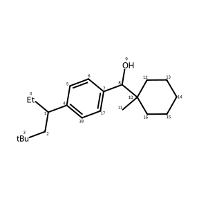 CCC(CC(C)(C)C)c1ccc(C(O)C2(C)CCCCC2)cc1